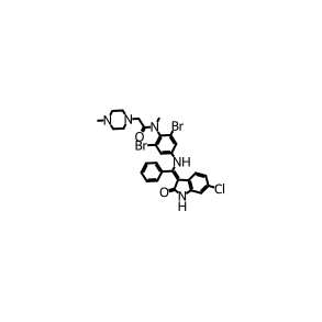 CN1CCN(CC(=O)N(C)c2c(Br)cc(NC(=C3C(=O)Nc4cc(Cl)ccc43)c3ccccc3)cc2Br)CC1